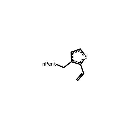 C=Cc1sccc1CCCCCC